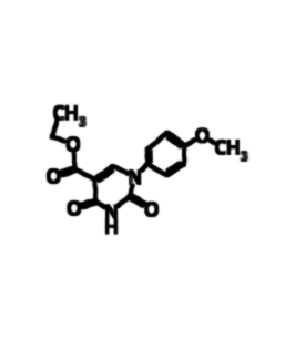 CCOC(=O)c1cn(-c2ccc(OC)cc2)c(=O)[nH]c1=O